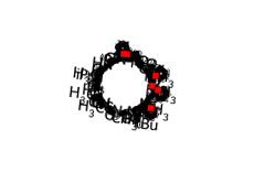 CC(C)C[C@@H]1NC(=O)[C@H](Cc2ccccc2)N(C)C(=O)[C@H]2CCCN2C(=O)C[C@@H](C(=O)N2CCCCC2)N(C)C(=O)[C@H](Cc2ccccc2)N(C)C(=O)[C@H](Cc2ccccc2)N(C)C(=O)[C@H](COC(C)(C)C)NC(=O)[C@H](C(C)C)N(C)C(=O)CN(C)C(=O)[C@H]([C@@H](C)O)NC(=O)[C@H](CC(C)C)N(C)C1=O